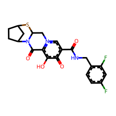 O=C(NCc1ccc(F)cc1F)c1cn2c(c(O)c1=O)C(=O)N1C3CCC(C3)SC1C2